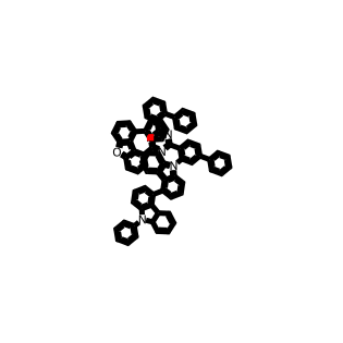 C1=CC2c3c(-c4cccc5c4c4c(n5-c5cc(-c6ccccc6)ccc5-c5nc(-c6ccccc6-c6ccccc6)nc(-c6cccc7oc8cccc(-c9ccccc9)c8c67)n5)=CCCC=4)cccc3N(c3ccccc3)C2C=C1